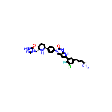 C[C@H](N)CCCc1cc(Cl)c(F)c(-c2cc3cn(-c4ccc([C@@H]5CCC[C@@H](Cn6cn[nH]c6=O)N5)cc4)c(=O)nc3[nH]2)c1